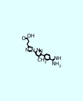 Cc1cc(-n2cnc(CCC(=O)O)c2)nnc1-c1ccc(C(=N)N)cc1